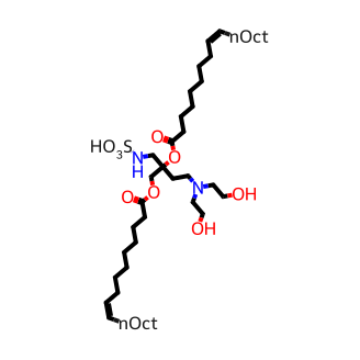 CCCCCCCC/C=C\CCCCCCCC(=O)OCC(CCN(CCO)CCO)(CNS(=O)(=O)O)OC(=O)CCCCCCC/C=C\CCCCCCCC